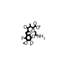 COC(=O)[C@@H](OCC(N)=O)C(C)C(=O)c1cc2c(F)c(OC)c(OC)cc2s1